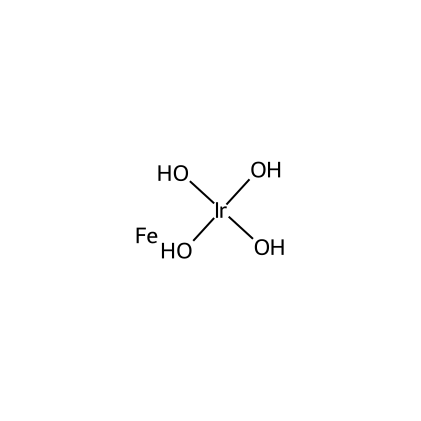 [Fe].[OH][Ir]([OH])([OH])[OH]